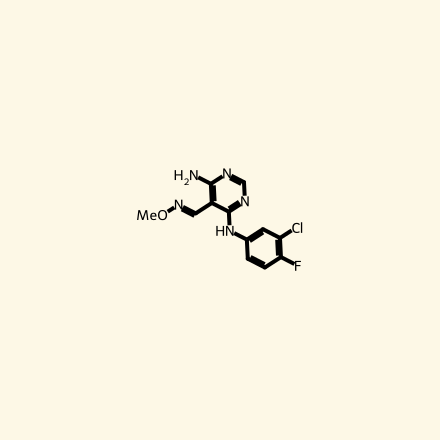 CO/N=C/c1c(N)ncnc1Nc1ccc(F)c(Cl)c1